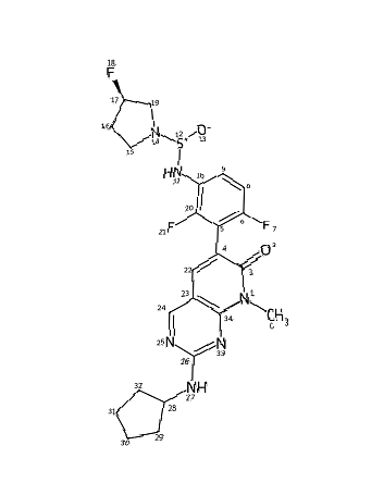 Cn1c(=O)c(-c2c(F)ccc(N[S+]([O-])N3CC[C@@H](F)C3)c2F)cc2cnc(NC3CCCC3)nc21